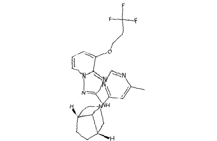 Cc1cc(N2C[C@H]3CC[C@@H](C2)C3Nc2nc3c(OCCC(F)(F)F)cccn3n2)ncn1